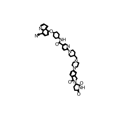 N#Cc1ccc(OC2CCC(NC(=O)c3ccc(N4CCC(CN5CCN(c6ccc7c(c6)CN([C@H]6CCC(=O)NC6=O)C7=O)CC5)CC4)nc3)CC2)c2cccnc12